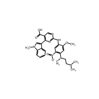 COc1cc(N(C)CCN(C)C)c([N+](=O)[O-])cc1Nc1ncc(C(=O)O)c(-c2cn(C)c3ccccc23)n1